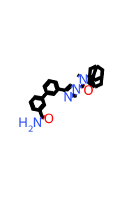 CN(C(=O)n1cnc(-c2cccc(-c3cccc(C(N)=O)c3)c2)c1)C12CC3CC(CC(C3)C1)C2